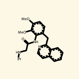 COc1ccc(Cc2nccc3ccccc23)c(NC(=O)CNC(C)C)c1OC